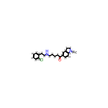 CC(=O)N1CCc2cc(C(=O)CCCCNCCc3ccccc3Cl)ccc21